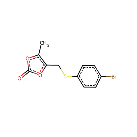 Cc1oc(=O)oc1CSc1ccc(Br)cc1